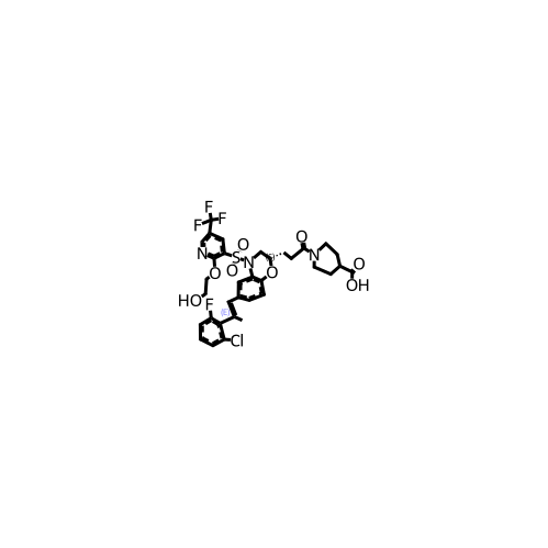 C/C(=C\c1ccc2c(c1)N(S(=O)(=O)c1cc(C(F)(F)F)cnc1OCCO)C[C@H](CCC(=O)N1CCC(C(=O)O)CC1)O2)c1c(F)cccc1Cl